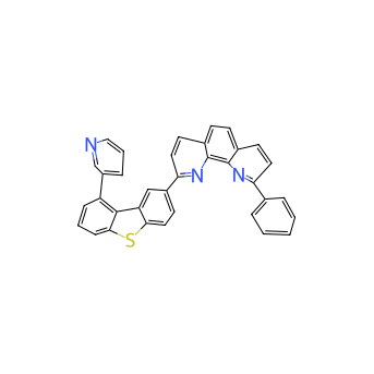 c1ccc(-c2ccc3ccc4ccc(-c5ccc6sc7cccc(-c8cccnc8)c7c6c5)nc4c3n2)cc1